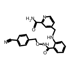 N#Cc1ccc(CONC(=O)c2ccccc2NCc2ccnc(C(N)=O)c2)cc1